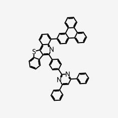 c1ccc(-c2cc(-c3ccccc3)nc(-c3ccc(-c4nc5c(-c6ccc7c8ccccc8c8ccccc8c7c6)cccc5c5sc6ccccc6c45)cc3)n2)cc1